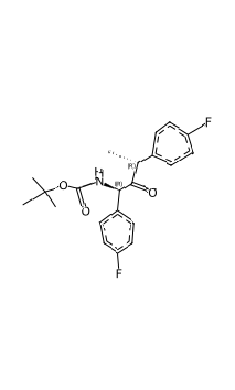 C[C@@H](C(=O)[C@H](NC(=O)OC(C)(C)C)c1ccc(F)cc1)c1ccc(F)cc1